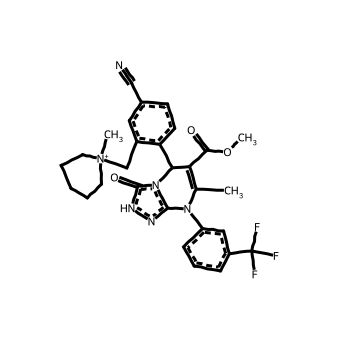 COC(=O)C1=C(C)N(c2cccc(C(F)(F)F)c2)c2n[nH]c(=O)n2C1c1ccc(C#N)cc1C[N+]1(C)CCCCC1